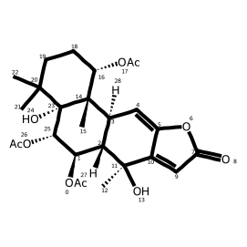 CC(=O)O[C@@H]1[C@@H]2[C@H](C=C3OC(=O)C=C3[C@@]2(C)O)[C@@]2(C)[C@@H](OC(C)=O)CCC(C)(C)[C@]2(O)[C@H]1OC(C)=O